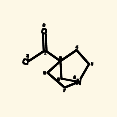 O=C(Cl)C12CCN(CC1)C2